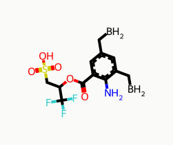 BCc1cc(CB)c(N)c(C(=O)OC(CS(=O)(=O)O)C(F)(F)F)c1